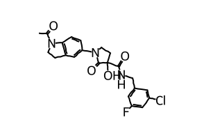 CC(=O)N1CCc2cc(N3CCC(O)(C(=O)NCc4cc(F)cc(Cl)c4)C3=O)ccc21